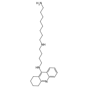 NCCCCCCCCNCCCCNc1c2c(nc3ccccc13)CCCC2